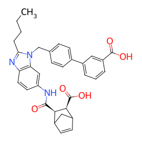 CCCCc1nc2ccc(NC(=O)[C@@H]3C4C=CC(C4)[C@@H]3C(=O)O)cc2n1Cc1ccc(-c2cccc(C(=O)O)c2)cc1